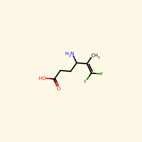 CC(=C(F)F)C(N)CCC(=O)O